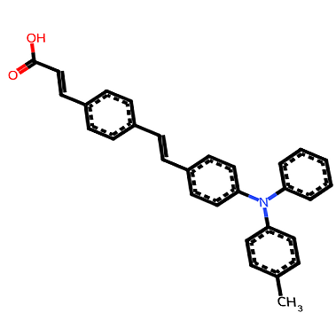 Cc1ccc(N(c2ccccc2)c2ccc(C=Cc3ccc(/C=C/C(=O)O)cc3)cc2)cc1